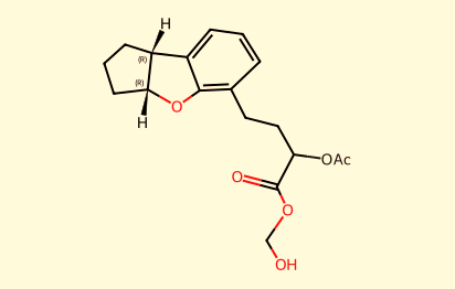 CC(=O)OC(CCc1cccc2c1O[C@@H]1CCC[C@H]21)C(=O)OCO